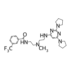 CN(CCNC(=O)c1cccc(C(F)(F)F)c1)CCNc1cc(N2CCCC2)nc(N2CCCC2)n1